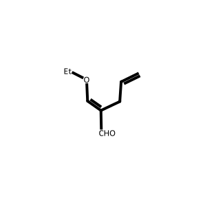 C=CCC(C=O)=COCC